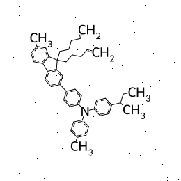 C=CCCCC1(CCCC=C)c2cc(C)ccc2-c2ccc(-c3ccc(N(c4ccc(C)cc4)c4ccc(C(C)CC)cc4)cc3)cc21